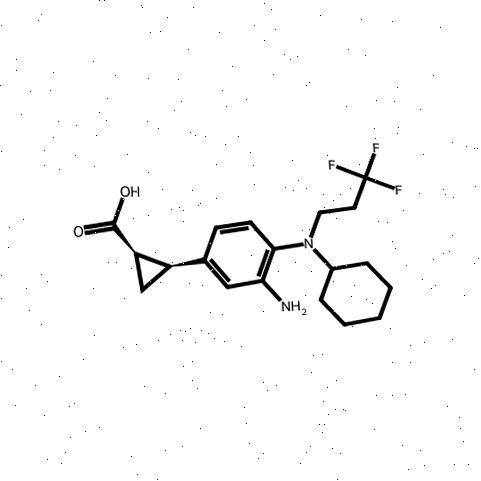 Nc1cc([C@H]2C[C@H]2C(=O)O)ccc1N(CCC(F)(F)F)C1CCCCC1